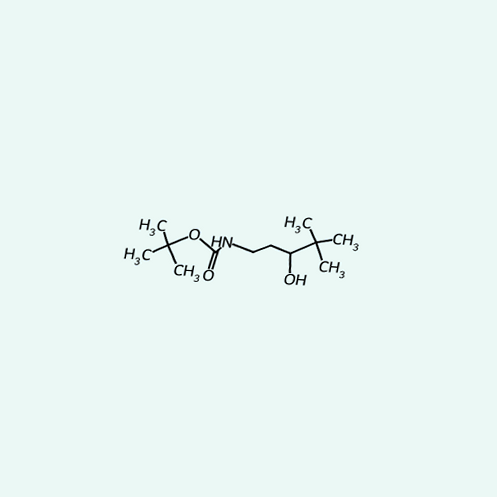 CC(C)(C)OC(=O)NCCC(O)C(C)(C)C